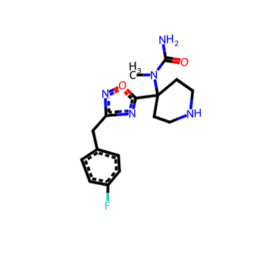 CN(C(N)=O)C1(c2nc(Cc3ccc(F)cc3)no2)CCNCC1